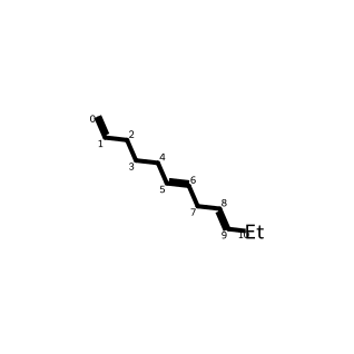 C=CCCCC=CCC=CCC